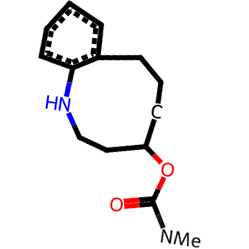 CNC(=O)OC1CCCc2ccccc2NCC1